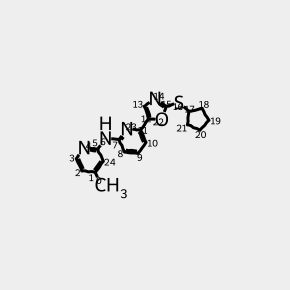 Cc1ccnc(Nc2cccc(-c3cnc(SC4CCCC4)o3)n2)c1